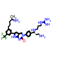 C[C@H](N)CCCc1cc(-c2cc3cn(-c4ccc([C@@H](CCN)NCCCNC(=N)N)cc4)c(=O)nc3[nH]2)cc(C(F)(F)F)c1